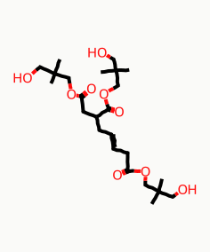 CC(C)(CO)COC(=O)CC=CCC(CC(=O)OCC(C)(C)CO)C(=O)OCC(C)(C)CO